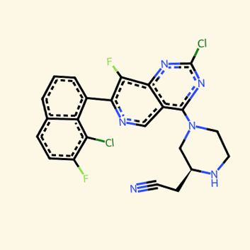 N#CC[C@H]1CN(c2nc(Cl)nc3c(F)c(-c4cccc5ccc(F)c(Cl)c45)ncc23)CCN1